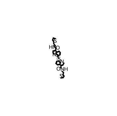 O=C(NCCc1cccs1)c1ccnc2c(SSc3cccc4c(C(=O)NCCc5cccs5)ccnc34)cccc12